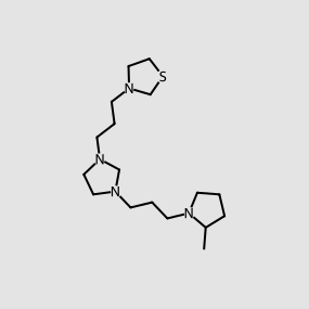 CC1CCCN1CCCN1CCN(CCCN2CCSC2)C1